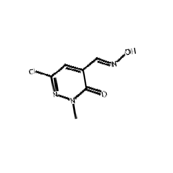 Cn1nc(Cl)cc(C=NO)c1=O